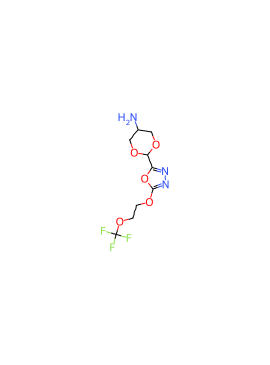 NC1COC(c2nnc(OCCOC(F)(F)F)o2)OC1